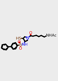 CC(=O)NCCCCCC(=O)N1CC(S)C(NS(=O)(=O)c2ccc(-c3ccccc3)cc2)C1